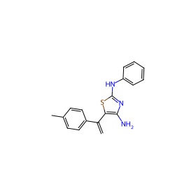 C=C(c1ccc(C)cc1)c1sc(Nc2ccccc2)nc1N